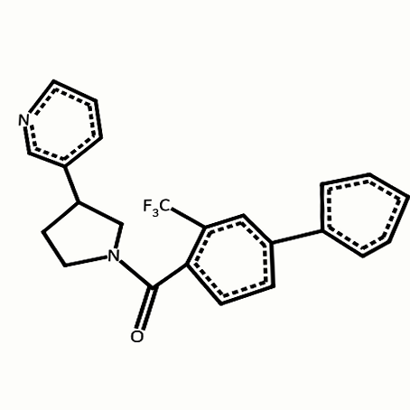 O=C(c1ccc(-c2ccccc2)cc1C(F)(F)F)N1CCC(c2cccnc2)C1